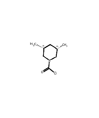 C[C@@H]1C[C@H](C)CN(C(=O)Cl)C1